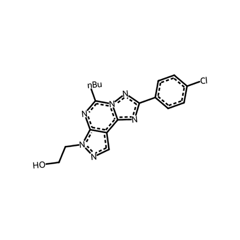 CCCCc1nc2c(cnn2CCO)c2nc(-c3ccc(Cl)cc3)nn12